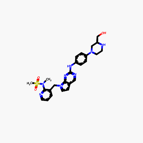 CN(c1ncccc1Cn1ccc2cnc(Nc3ccc(N4CCNC(CO)C4)cc3)nc21)S(C)(=O)=O